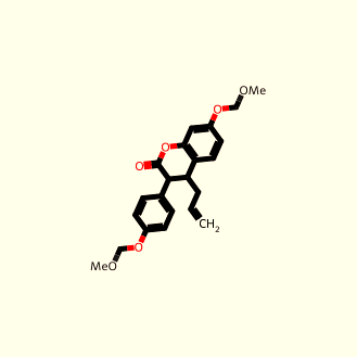 C=CCC1c2ccc(OCOC)cc2OC(=O)C1c1ccc(OCOC)cc1